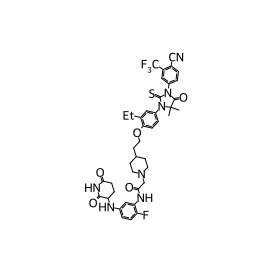 CCc1cc(N2C(=S)N(c3ccc(C#N)c(C(F)(F)F)c3)C(=O)C2(C)C)ccc1OCCC1CCN(CC(=O)Nc2cc(NC3CCC(=O)NC3=O)ccc2F)CC1